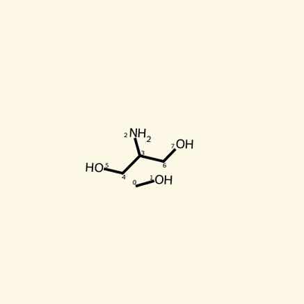 CO.NC(CO)CO